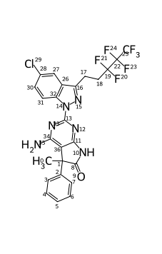 CC1(c2ccccc2)C(=O)Nc2nc(-n3nc(CCC(F)(F)C(F)(F)C(F)(F)F)c4cc(Cl)ccc43)nc(N)c21